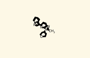 Cc1nc2ccc(-c3cnn4ccccc34)nc2n1C1CCOCC1